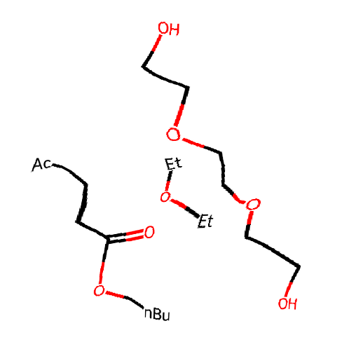 CCCCOC(=O)CCC(C)=O.CCOCC.OCCOCCOCCO